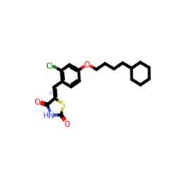 O=C1NC(=O)/C(=C/c2ccc(OCCCCC3CCCCC3)cc2Cl)S1